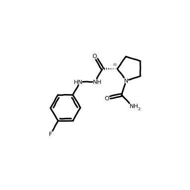 NC(=O)N1CCC[C@H]1C(=O)NNc1ccc(F)cc1